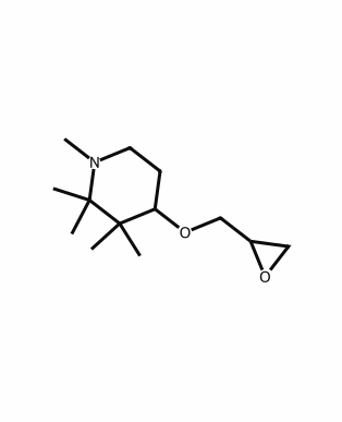 CN1CCC(OCC2CO2)C(C)(C)C1(C)C